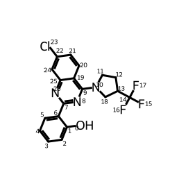 Oc1ccccc1-c1nc(N2CCC(C(F)(F)F)C2)c2ccc(Cl)cc2n1